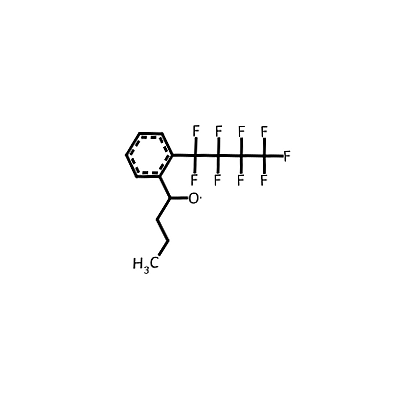 CCCC([O])c1ccccc1C(F)(F)C(F)(F)C(F)(F)C(F)(F)F